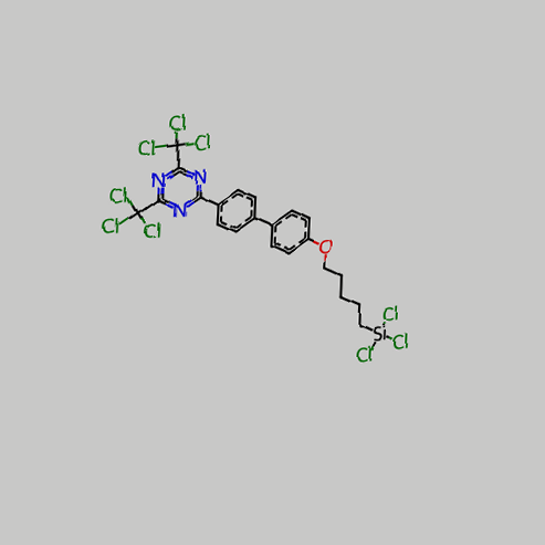 ClC(Cl)(Cl)c1nc(-c2ccc(-c3ccc(OCCCCC[Si](Cl)(Cl)Cl)cc3)cc2)nc(C(Cl)(Cl)Cl)n1